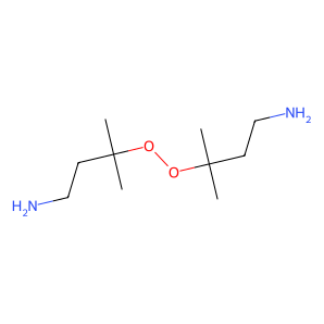 CC(C)(CCN)OOC(C)(C)CCN